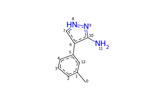 Cc1cccc(-c2c[nH]nc2N)c1